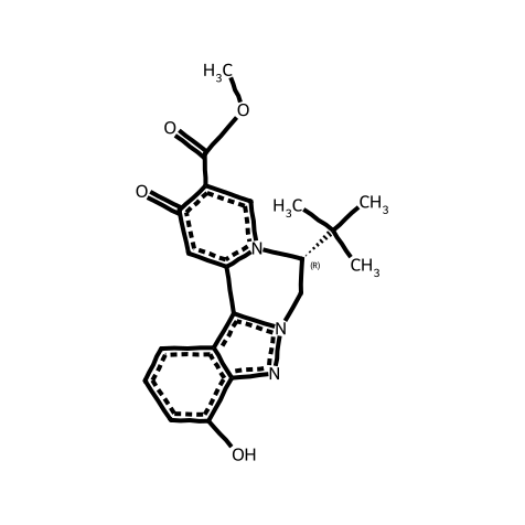 COC(=O)c1cn2c(cc1=O)-c1c3cccc(O)c3nn1C[C@H]2C(C)(C)C